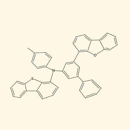 Cc1ccc(N(c2cc(-c3ccccc3)cc(-c3cccc4c3oc3ccccc34)c2)c2cccc3c2sc2ccccc23)cc1